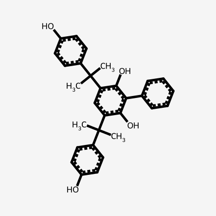 CC(C)(c1ccc(O)cc1)c1cc(C(C)(C)c2ccc(O)cc2)c(O)c(-c2ccccc2)c1O